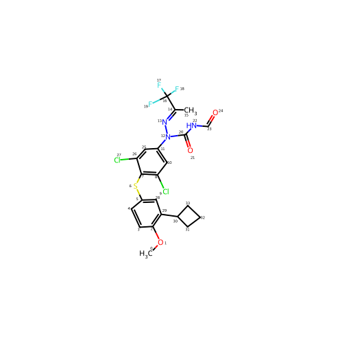 COc1ccc(Sc2c(Cl)cc(N(/N=C(\C)C(F)(F)F)C(=O)NC=O)cc2Cl)cc1C1CCC1